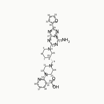 Nc1nc(N2CCC[C@@H](CN3CCN(c4ncccc4C(=O)O)CC3)C2)nc2nc(-c3ccco3)nn12